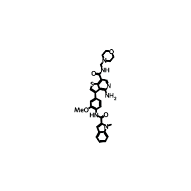 COc1cc(-c2csc3c(C(=O)NCN4CCOCC4)cnc(N)c23)ccc1NC(=O)c1cc2ccccc2n1C